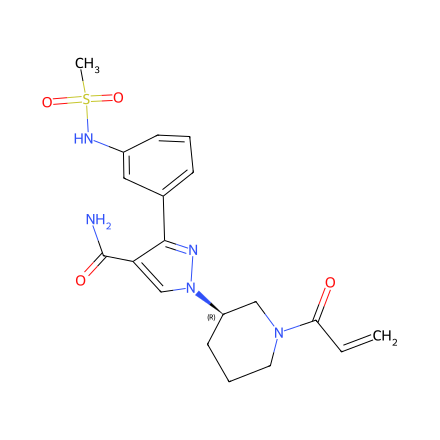 C=CC(=O)N1CCC[C@@H](n2cc(C(N)=O)c(-c3cccc(NS(C)(=O)=O)c3)n2)C1